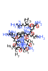 CC[C@H](C)[C@H](NC(=O)[C@H](C)NC(=O)[C@@H](NC(=O)[C@H](CCCNC(=N)N)NC(=O)[C@@H](NC(=O)[C@H](C)NC(=O)[C@H](CCCCN)NC(=O)[C@H](CCC(N)=O)NC(=O)[C@@H](C)CCCNC(=N)N)C(C)C)C(C)C)C(N)=O